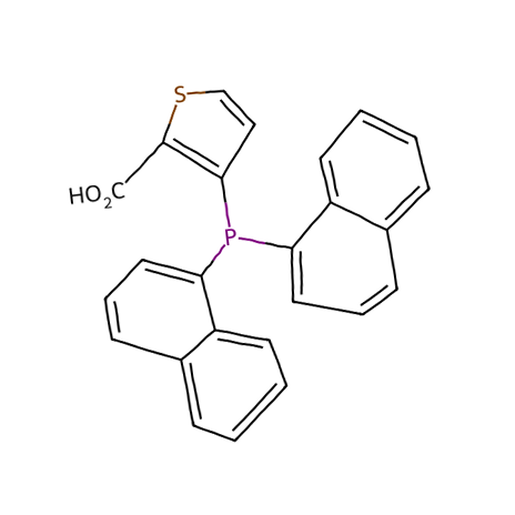 O=C(O)c1sccc1P(c1cccc2ccccc12)c1cccc2ccccc12